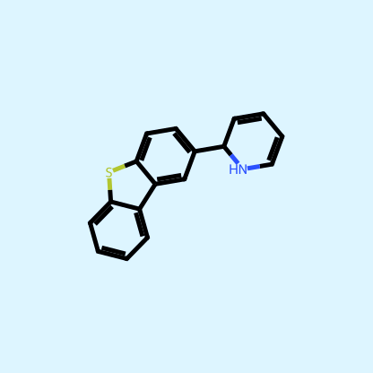 C1=CNC(c2ccc3sc4ccccc4c3c2)C=C1